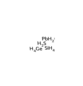 S.[GeH4].[PbH2].[SiH4]